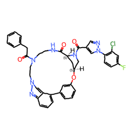 O=C1NCCN(C(=O)Cc2ccccc2)CCn2cc3c(cccc3n2)-c2cccc(c2)O[C@H]2C[C@@H]1N(C(=O)c1cnn(-c3ccc(F)cc3Cl)c1)C2